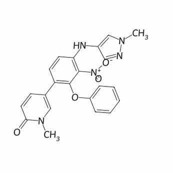 Cn1cc(Nc2ccc(-c3ccc(=O)n(C)c3)c(Oc3ccccc3)c2[N+](=O)[O-])cn1